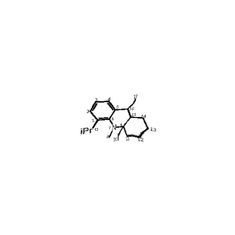 CC(C)c1cccc2c1N(C)C1(I)CCCCC1C2C